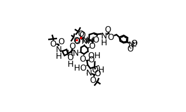 CN(C(=O)OC(C)(C)C)[C@@H]1[C@@H](O)[C@@H](O[C@@H]2[C@@H](O)[C@H](O[C@H]3OC(CNC(=O)OCc4ccc([N+](=O)[O-])cc4)=CC[C@H]3NC(=O)OC(C)(C)C)[C@@H](NC(=O)OC(C)(C)C)C[C@H]2NC(=O)C2(O)CC(NC(=O)OC(C)(C)C)C2)OC[C@]1(C)O